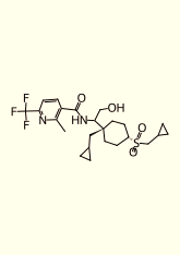 Cc1nc(C(F)(F)F)ccc1C(=O)NC(CO)[C@]1(CC2CC2)CC[C@H](S(=O)(=O)CC2CC2)CC1